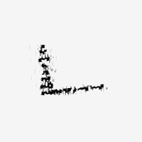 CC(C)C[C@H](N)C(=O)O.CC(C)[C@H](N)C(=O)O.C[C@@H](O)[C@H](N)C(=O)O.C[C@H](N)C(=O)O.N=C(N)NCCC[C@H](N)C(=O)O.NC(=O)CC[C@H](N)C(=O)O.NC(CO)C(=O)O.NCC(=O)O.NCCCCC(N)C(=O)O.N[C@@H](Cc1c[nH]cn1)C(=O)O.N[C@H](Cc1ccccc1)C(=O)O.O=C(O)C1CCCN1